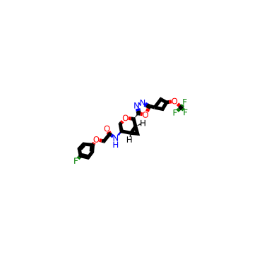 O=C(COc1ccc(F)cc1)N[C@H]1CO[C@H](c2nnc(C3CC(OC(F)(F)F)C3)o2)[C@H]2C[C@H]21